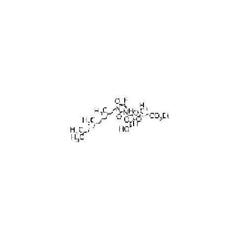 CCOC(=O)CC[C@@]1(C)O[C@@H]2[C@H](O1)[C@@H](CO)O[C@H]2n1cc(F)c(=O)n(C/C=C(\C)CC/C=C(\C)CCC=C(C)C)c1=O